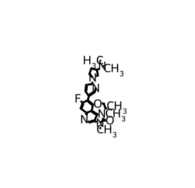 CN(C)C1CCN(c2ccc(-c3c(F)cc4ncc5c6c4c3OCC(C)(C)n6c(=O)n5C)cn2)C1